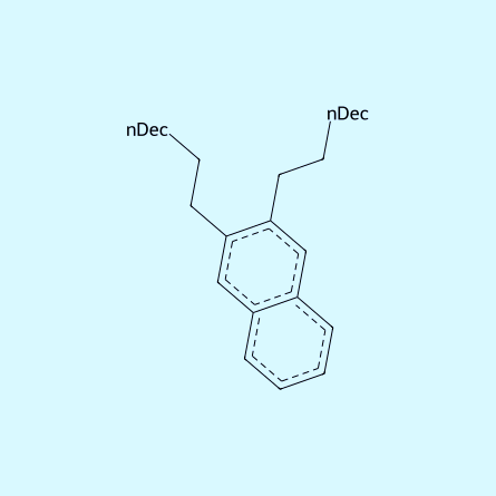 CCCCCCCCCCCCc1cc2ccccc2cc1CCCCCCCCCCCC